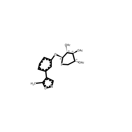 CC(=O)O[C@@H]1[C@@H](OC(C)=O)[C@H](OC(C)=O)CS[C@H]1Oc1cccc(-c2cnoc2C)c1